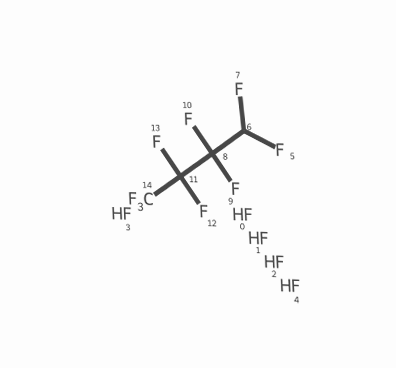 F.F.F.F.F.FC(F)C(F)(F)C(F)(F)C(F)(F)F